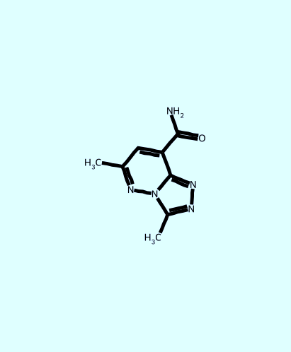 Cc1cc(C(N)=O)c2nnc(C)n2n1